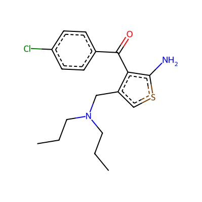 CCCN(CCC)Cc1csc(N)c1C(=O)c1ccc(Cl)cc1